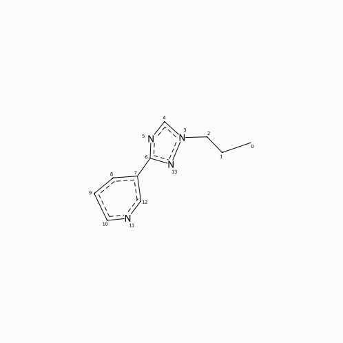 CCCn1cnc(-c2cccnc2)n1